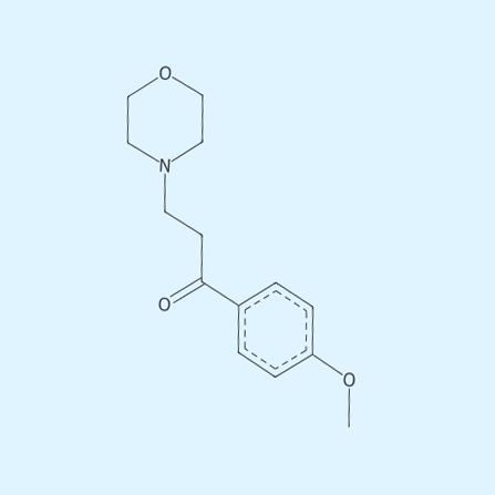 COc1ccc(C(=O)CCN2CCOCC2)cc1